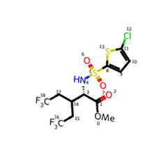 COC(=O)[C@@H](NS(=O)(=O)c1ccc(Cl)s1)C(CC(F)(F)F)CC(F)(F)F